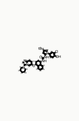 CC(C)(C)c1cc(NC(=O)N[C@H]2CC[C@@H](Oc3ccc4nnc(N5CCCCC5)n4c3)c3ccccc32)n(-c2ccc(O)c(Cl)c2)n1